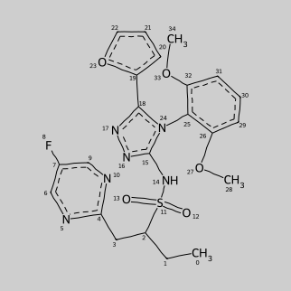 CCC(Cc1ncc(F)cn1)S(=O)(=O)Nc1nnc(-c2ccco2)n1-c1c(OC)cccc1OC